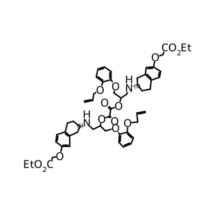 C=CCOc1ccccc1OCC(CN[C@H]1CCc2ccc(OCC(=O)OCC)cc2C1)OC(=O)C(=O)OC(CN[C@H]1CCc2ccc(OCC(=O)OCC)cc2C1)COc1ccccc1OCC=C